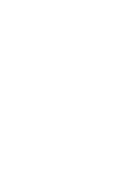 O=C(O)c1cc2c(c(-c3ccccc3)c1)C(=S)OC2=S